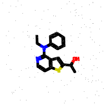 CCN(c1ccccc1)c1nccc2sc(C(C)O)cc12